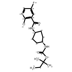 CCC(C)(C)OC(=O)N[C@H]1CC[C@@H](NC(=O)c2cc(F)cnc2Cl)CC1